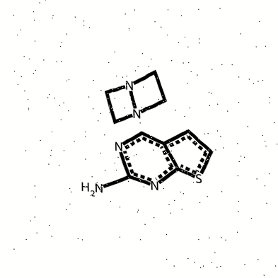 C1CN2CCN12.Nc1ncc2ccsc2n1